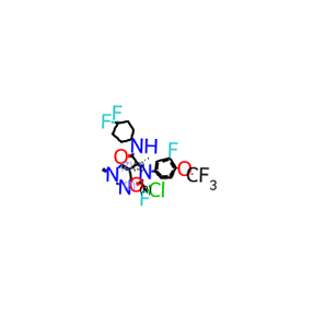 C=N/C=C(\C=N/C)[C@@](C)(C(=O)NC1CCC(F)(F)CC1)N(C(=O)[C@H](F)Cl)c1ccc(OC(F)(F)F)c(F)c1